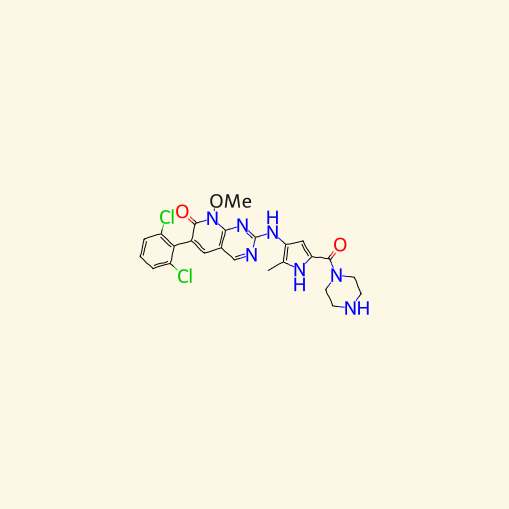 COn1c(=O)c(-c2c(Cl)cccc2Cl)cc2cnc(Nc3cc(C(=O)N4CCNCC4)[nH]c3C)nc21